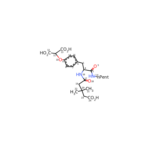 CCCCCNC(=O)C(Cc1ccc(OC(C(=O)O)C(=O)O)cc1)NC(=O)CC(C)(C)CC(=O)O